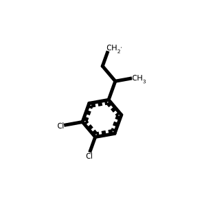 [CH2]CC(C)c1ccc(Cl)c(Cl)c1